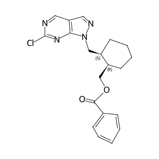 O=C(OC[C@@H]1CCCC[C@@H]1Cn1ncc2cnc(Cl)nc21)c1ccccc1